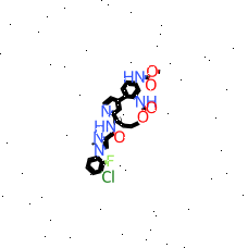 COC(=O)Nc1ccc2c(c1)NC(=O)OCCC[C@H](NC(=O)c1cn(-c3cccc(Cl)c3F)cn1)c1cc-2ccn1